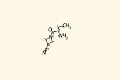 CCC(N)C(=O)N1CC(C#N)C1